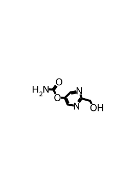 NC(=O)Oc1cnc(CO)nc1